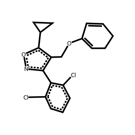 Clc1cccc(Cl)c1-c1noc(C2CC2)c1COC1=CCCC=C1